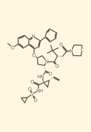 C=C[C@@H]1C[C@]1(NC(=O)[C@@H]1C[C@@H](Oc2cc(-c3ccccc3)nc3ccc(OC)cc23)CN1C(=O)[C@@H](CC(=O)N1CCCCC1)C(C)(C)C)C(=O)NS(=O)(=O)C1CC1